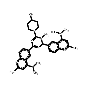 Cc1cc(N(C)C)c2cc(C3=NC(c4ccc5nc(C)cc(N(C)C)c5c4)N(N)C(N4CCC(O)CC4)=N3)ccc2n1